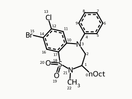 CCCCCCCCC1CN(c2ccccc2)c2cc(Cl)c(Br)cc2S(=O)(=O)N1C